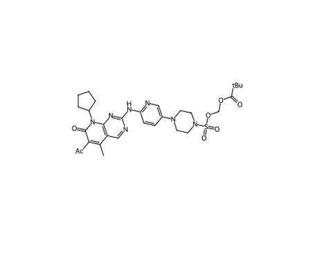 CC(=O)c1c(C)c2cnc(Nc3ccc(N4CCN(S(=O)(=O)OCOC(=O)C(C)(C)C)CC4)cn3)nc2n(C2CCCC2)c1=O